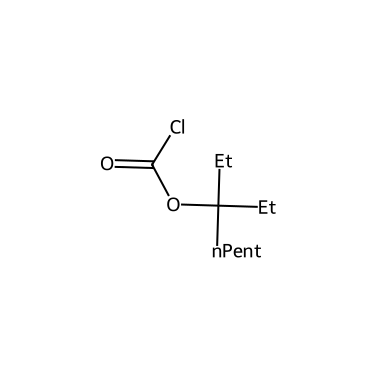 CCCCCC(CC)(CC)OC(=O)Cl